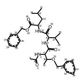 CC(=O)NC(C(=O)NC(C(=O)NC(CC(C)C)C(=O)OCc1ccccc1)C(C)C)C(C)OCc1ccccc1